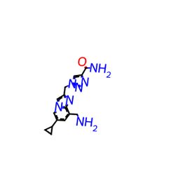 NCc1cc(C2CC2)cn2cc(Cn3cc(C(N)=O)nn3)nc12